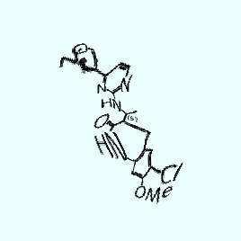 COc1cc2[nH]c(=O)c([C@H](C)Nc3nccc(-c4cnoc4)n3)cc2cc1Cl